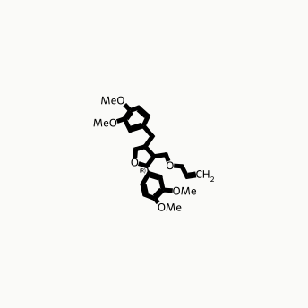 C=CCOCC1C(Cc2ccc(OC)c(OC)c2)CO[C@H]1c1ccc(OC)c(OC)c1